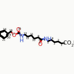 O=C(O)CCCCCNC(=O)CCCCCNC(=O)OCc1ccccc1